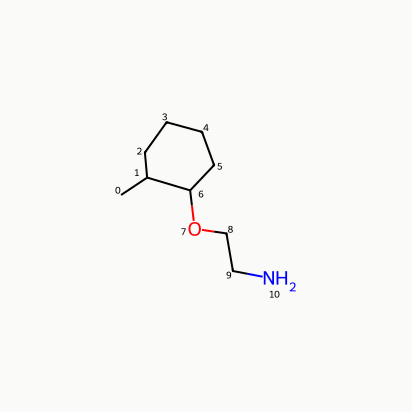 CC1CCCCC1OCCN